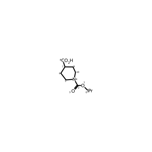 CC(C)OC(=O)N1CCC(C(=O)O)CC1